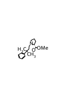 COC(=O)[C@H]1CCCN1CCC(C)(C)c1ccccc1